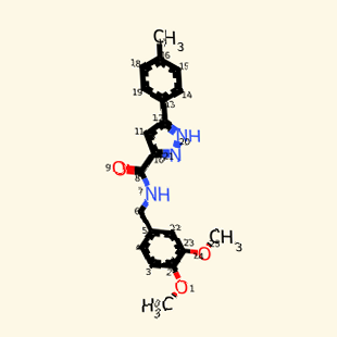 COc1ccc(CNC(=O)c2cc(-c3ccc(C)cc3)[nH]n2)cc1OC